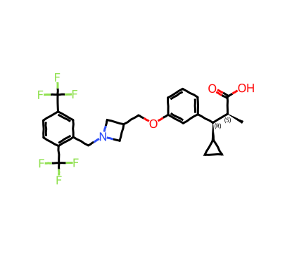 C[C@H](C(=O)O)[C@H](c1cccc(OCC2CN(Cc3cc(C(F)(F)F)ccc3C(F)(F)F)C2)c1)C1CC1